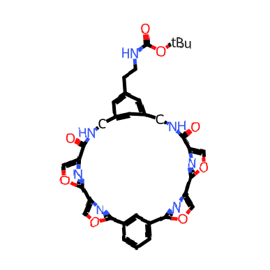 CC(C)(C)OC(=O)NCCc1cc2cc(c1)CNC(=O)c1coc(n1)-c1coc(n1)-c1cccc(c1)-c1nc(co1)-c1nc(co1)C(=O)NC2